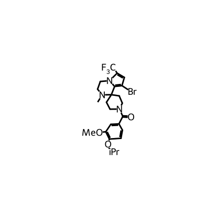 COc1cc(C(=O)N2CCC3(CC2)c2c(Br)cc(C(F)(F)F)n2CCN3C)ccc1OC(C)C